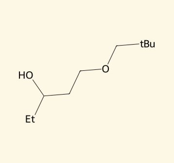 CCC(O)CCOCC(C)(C)C